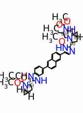 COC(=O)N[C@H](C(=O)N1[C@@H]2C[C@@H]2C[C@H]1c1ncc(-c2ccc3cc(-c4ccc5nc([C@@H]6C[C@H]7C[C@H]7N6C(=O)OC(C)(C)C)[nH]c5c4)ccc3c2)[nH]1)C(C)C